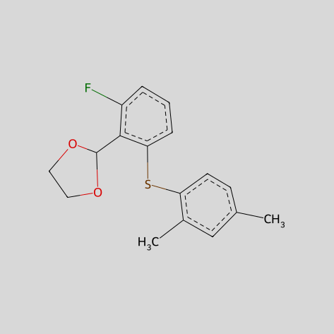 Cc1ccc(Sc2cccc(F)c2C2OCCO2)c(C)c1